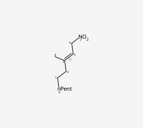 CCCCCCC/C(C)=C/C[N+](=O)[O-]